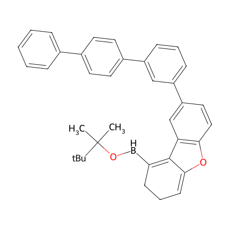 CC(C)(C)C(C)(C)OBC1=c2c(oc3ccc(-c4cccc(-c5ccc(-c6ccccc6)cc5)c4)cc23)=CCC1